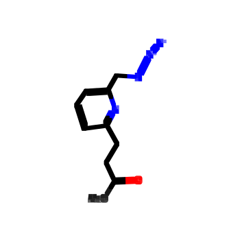 COC(=O)CCc1cccc(CN=[N+]=[N-])n1